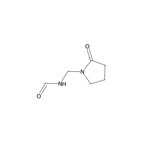 O=[C]NCN1CCCC1=O